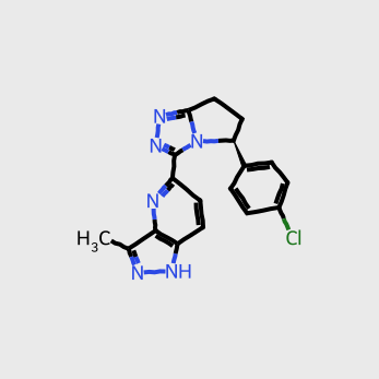 Cc1n[nH]c2ccc(-c3nnc4n3[C@H](c3ccc(Cl)cc3)CC4)nc12